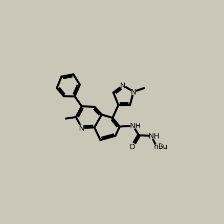 CCCCNC(=O)Nc1ccc2nc(C)c(-c3ccccc3)cc2c1-c1cnn(C)c1